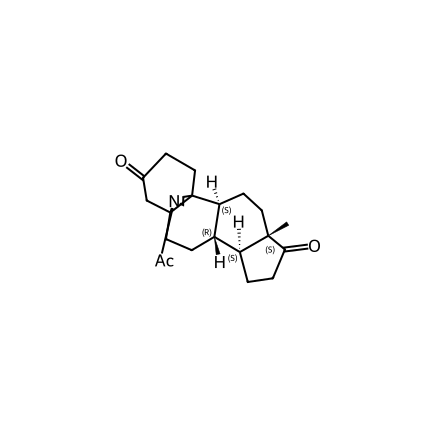 CC(=O)N1CCC23CCC(=O)CC12CC[C@@H]1[C@@H]3CC[C@]2(C)C(=O)CC[C@@H]12